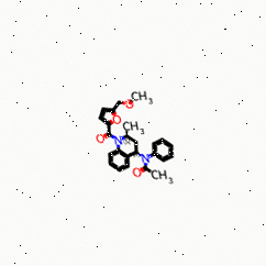 COCc1ccc(C(=O)N2c3ccccc3[C@H](N(C(C)=O)c3ccccc3)C[C@@H]2C)o1